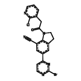 N#Cc1cc(-c2ccnc(Br)n2)cc2c1N(C(=O)Cc1cccnc1Cl)CC2